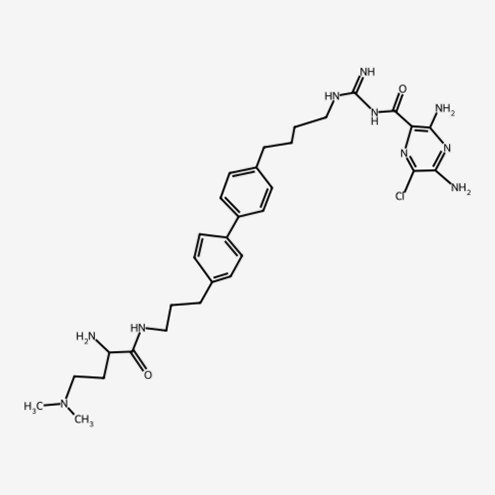 CN(C)CCC(N)C(=O)NCCCc1ccc(-c2ccc(CCCCNC(=N)NC(=O)c3nc(Cl)c(N)nc3N)cc2)cc1